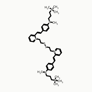 CN(CCC[N+](C)(C)C)c1ccc(/C=C/c2cccc[n+]2CCSSCC[n+]2ccccc2/C=C/c2ccc(N(C)CCC[N+](C)(C)C)cc2)cc1